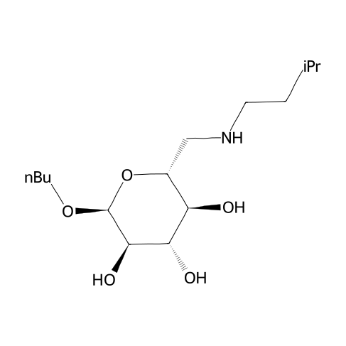 CCCCO[C@H]1O[C@H](CNCCC(C)C)[C@@H](O)[C@H](O)[C@H]1O